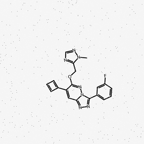 Cn1ncnc1COc1nn2c(-c3cccc(F)c3)nnc2cc1C1=CC=C1